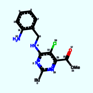 CCC(C)c1nc(NCc2ccccc2N)c(Cl)c(C(=O)OC)n1